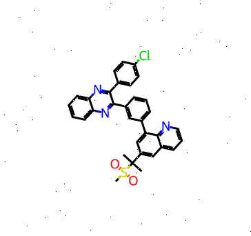 CC(C)(c1cc(-c2cccc(-c3nc4ccccc4nc3-c3ccc(Cl)cc3)c2)c2ncccc2c1)S(C)(=O)=O